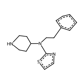 c1ccc(CCN(c2nccs2)C2CCNCC2)cc1